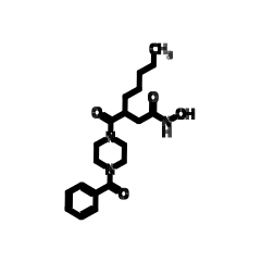 CCCCCC(CC(=O)NO)C(=O)N1CCN(C(=O)c2ccccc2)CC1